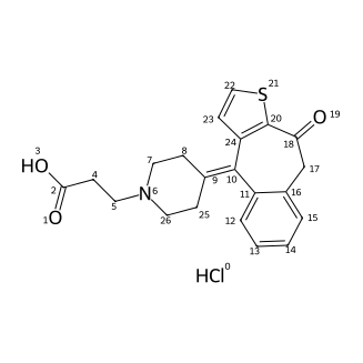 Cl.O=C(O)CCN1CCC(=C2c3ccccc3CC(=O)c3sccc32)CC1